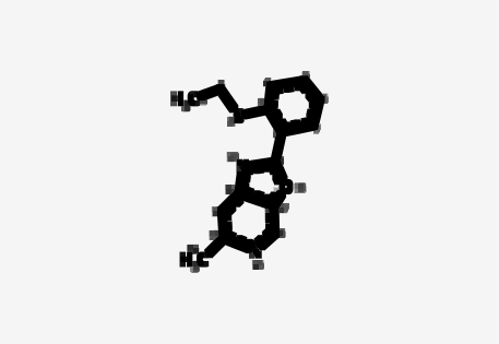 CCSc1ccccc1-c1nc2cc(C)ncc2o1